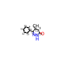 C[C@@H]1CC(=O)NN=C1c1cc[c]cc1